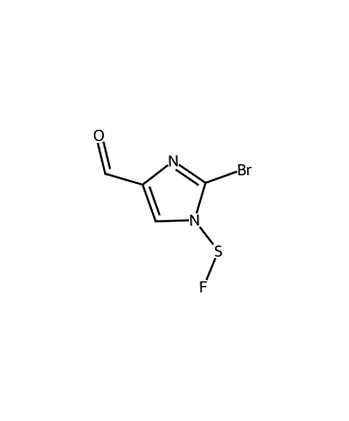 O=Cc1cn(SF)c(Br)n1